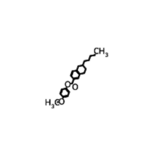 CCCCCC1CCc2cc(C(=O)Oc3ccc(OC)cc3)ccc2C1